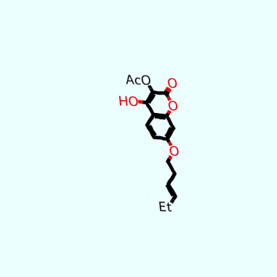 CCC=CCCOc1ccc2c(O)c(OC(C)=O)c(=O)oc2c1